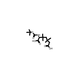 CC(C)(CC(=O)O)CC(C)(C)[C@H](NC(=O)OC(C)(C)C)C(=O)O